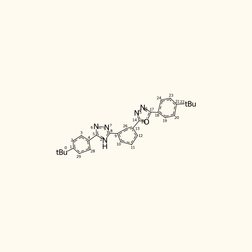 CC(C)(C)c1ccc(-c2nnc(-c3cccc(-c4nnc(-c5ccc(C(C)(C)C)cc5)o4)c3)[nH]2)cc1